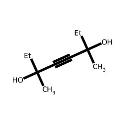 [CH2]CC(C)(O)C#CC(C)(O)CC